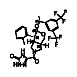 Cc1ccccc1[C@@H]1[C@@H](O[C@H](C)c2cc(C(F)(F)F)cc(C(F)(F)F)c2)OC[C@@H]2CN(C(=O)c3n[nH]c(=O)[nH]3)C[C@H]21